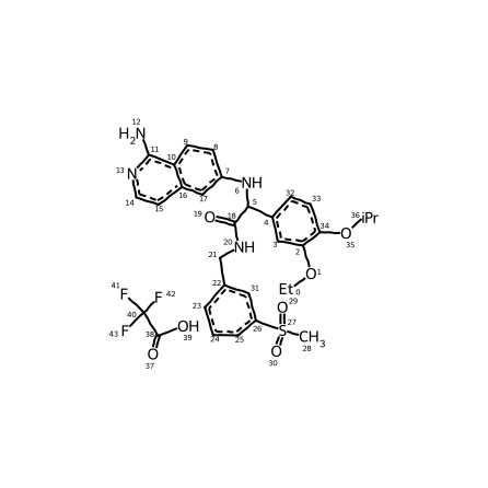 CCOc1cc(C(Nc2ccc3c(N)nccc3c2)C(=O)NCc2cccc(S(C)(=O)=O)c2)ccc1OC(C)C.O=C(O)C(F)(F)F